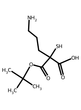 CC(C)(C)OC(=O)C(S)(CCCN)C(=O)O